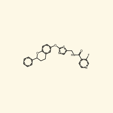 O=C(NCc1cnc(Oc2ccc3c(c2)CCC(c2ccccc2)O3)s1)c1ccncc1F